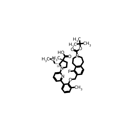 COC[C@H]1N(c2cccc(-c3cccc(C)c3OCc3ccc4c(c3F)CCN(C(=O)OC(C)(C)C)CC4)n2)CC[C@@]1(C)C(=O)O